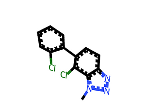 Cn1nnc2ccc(-c3ccccc3Cl)c(Cl)c21